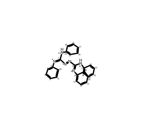 c1ccc(N=C(N=NC(=Nc2ccccc2)Nc2ccccc2)Nc2ccccc2)cc1